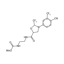 COC(=O)NCCNC(=O)C1CN(c2ccc(C#N)c(C(F)(F)F)c2)C(C(F)(F)F)O1